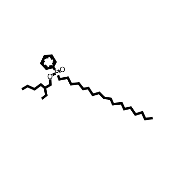 CCCCCCCCCCCCCCCCCCP(=O)(OCC(CC)CCCC)c1ccccc1